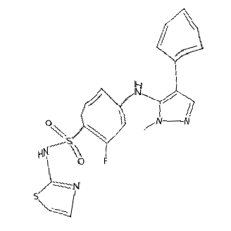 Cn1ncc(-c2ccccc2)c1Nc1ccc(S(=O)(=O)Nc2nccs2)c(F)c1